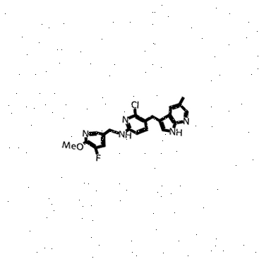 COc1ncc(CNc2ccc(Cc3c[nH]c4ncc(C)cc34)c(Cl)n2)cc1F